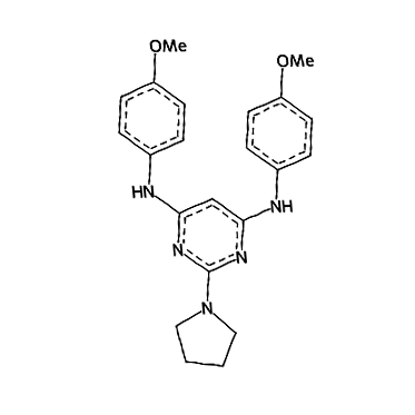 COc1ccc(Nc2cc(Nc3ccc(OC)cc3)nc(N3CCCC3)n2)cc1